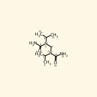 CC(C)N(CN(C(N)=O)C(C)C)C(N)=O